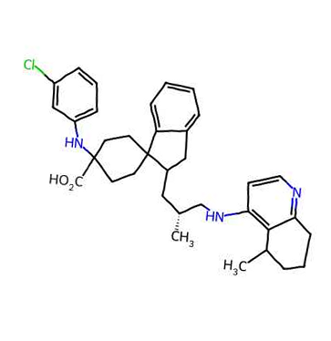 CC1CCCc2nccc(NC[C@H](C)CC3Cc4ccccc4C34CCC(Nc3cccc(Cl)c3)(C(=O)O)CC4)c21